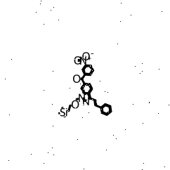 C[Si](C)(C)CCOCn1nc(C=Cc2ccccc2)c2ccc(C(=O)c3cccc([N+](=O)[O-])c3)cc21